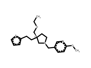 CCOC[C@@]1(CCc2cccs2)CCN(Cc2ccc(OC)nc2)C1